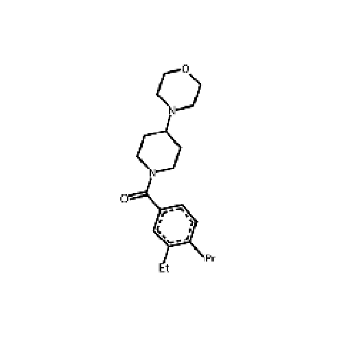 CCc1cc(C(=O)N2CCC(N3CCOCC3)CC2)ccc1C(C)C